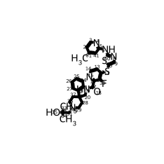 Cc1ccnc(Nc2ncc(Sc3ccnc(C(=O)NCC4(c5ccccc5)CCN(CC(C)(C)O)CC4)c3F)s2)c1